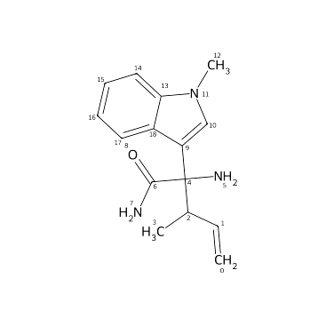 C=CC(C)C(N)(C(N)=O)c1cn(C)c2ccccc12